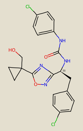 O=C(Nc1ccc(Cl)cc1)N[C@@H](Cc1ccc(Cl)cc1)c1noc(C2(CO)CC2)n1